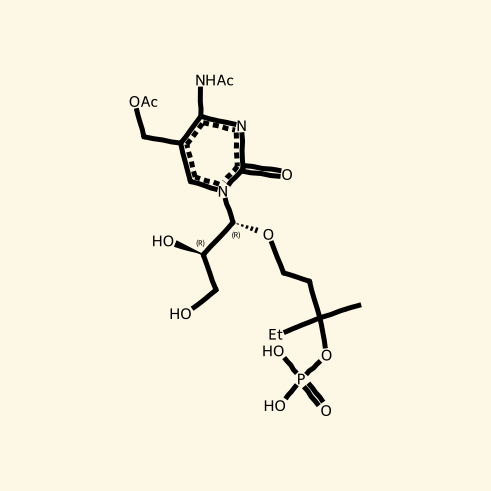 CCC(C)(CCO[C@H]([C@H](O)CO)n1cc(COC(C)=O)c(NC(C)=O)nc1=O)OP(=O)(O)O